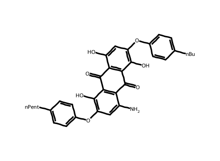 CCCCCc1ccc(Oc2cc(N)c3c(c2O)C(=O)c2c(O)cc(Oc4ccc(CCCC)cc4)c(O)c2C3=O)cc1